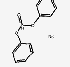 O=[PH](Oc1ccccc1)Oc1ccccc1.[Nd]